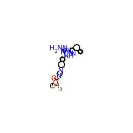 CCOC(=O)CN1CCN(C2CCc3ccc(Nc4nc(N)nn4-c4cc5c(nn4)-c4ccccc4CCC5)cc3CC2)CC1